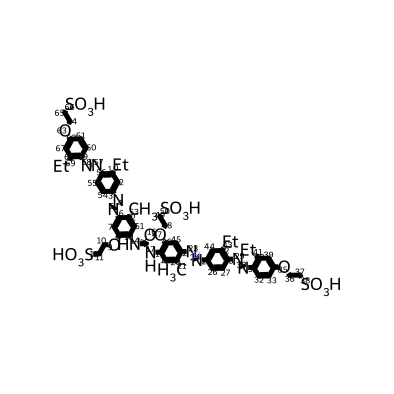 CCc1cc(N=Nc2cc(OCCS(=O)(=O)O)c(NC(=O)Nc3cc(C)c(/N=N/c4ccc(N=Nc5ccc(OCCS(=O)(=O)O)cc5CC)c(CC)c4)cc3OCCS(=O)(=O)O)cc2C)ccc1N=Nc1ccc(OCCS(=O)(=O)O)cc1CC